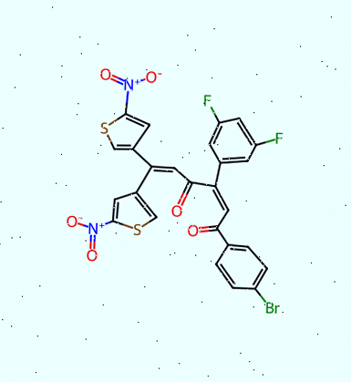 O=C(C=C(c1csc([N+](=O)[O-])c1)c1csc([N+](=O)[O-])c1)C(=CC(=O)c1ccc(Br)cc1)c1cc(F)cc(F)c1